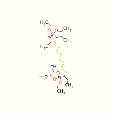 CCO[Si](OCC)(OCC)C(CC)SSSSSSSSC(CC)[Si](OCC)(OCC)OCC